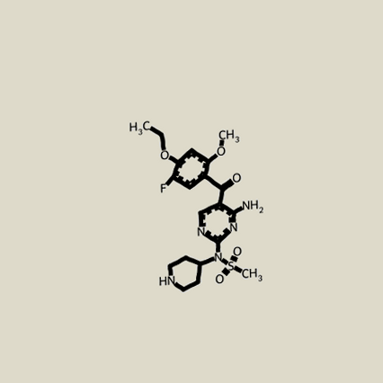 CCOc1cc(OC)c(C(=O)c2cnc(N(C3CCNCC3)S(C)(=O)=O)nc2N)cc1F